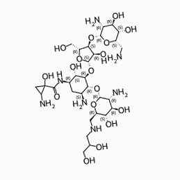 NC[C@@H]1O[C@H](O[C@H]2[C@@H](O)[C@H](O[C@@H]3[C@@H](O)[C@H](NC(=O)C4(O)CC4N)C[C@H](N)[C@H]3O[C@H]3O[C@H](CNCC(O)CO)[C@@H](O)[C@H](O)[C@H]3N)O[C@@H]2CO)[C@H](N)[C@@H](O)[C@@H]1O